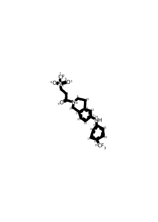 O=C(CCS(=O)(=O)C(F)(F)F)N1CCc2cc(Nc3ccc(C(F)(F)F)cc3)ccc2C1